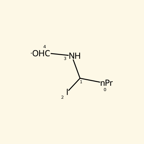 CCCC(I)N[C]=O